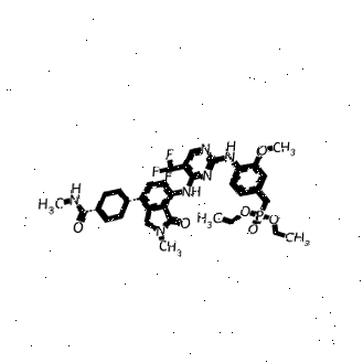 CCOP(=O)(Cc1ccc(Nc2ncc(C(F)(F)F)c(Nc3ccc([C@H]4CC[C@@H](C(=O)NC)CC4)c4c3C(=O)N(C)C4)n2)c(OC)c1)OCC